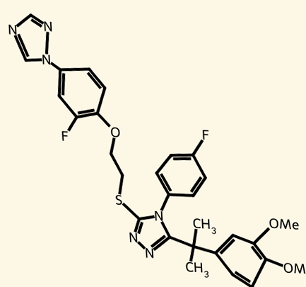 COc1ccc(C(C)(C)c2nnc(SCCOc3ccc(-n4cncn4)cc3F)n2-c2ccc(F)cc2)cc1OC